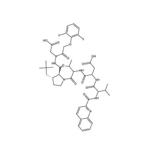 CC(C)C(NC(=O)c1ccc2ccccc2n1)C(=O)NC(CC(=O)O)C(=O)NC(C(=O)N1CC[C@H](CC(C)(C)C)[C@H]1C(=O)NN(CC(=O)O)C(=O)COc1c(F)cccc1F)C(C)C